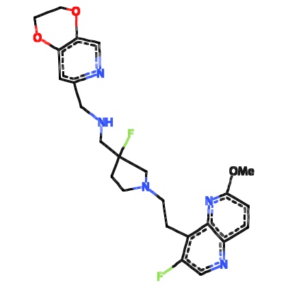 COc1ccc2ncc(F)c(CCN3CCC(F)(CNCc4cc5c(cn4)OCCO5)C3)c2n1